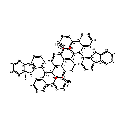 CC(C)C1=C2CCc3c(N(C4=CC=CCC4c4ccccc4)c4cccc5c4oc4ccccc45)cc(C(C)C)c4ccc(c2c34)C(N(c2ccccc2C2=CC=CCC2)c2cccc3c2OC2(C)C=CC=CC32)C1